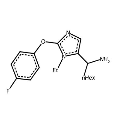 CCCCCCC(N)c1cnc(Oc2ccc(F)cc2)n1CC